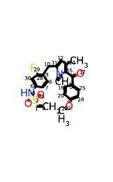 C=CS(=O)(=O)Nc1ccc(Cc2cc(C)c(C(=O)c3ccc(OC)cc3)n2C)c(F)c1